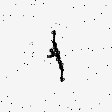 C=CC(=O)OCCCCCCOc1ccc(OC(=O)C2CCC(C(=O)Oc3ccc(OC(=O)C4CCC(C(=O)Oc5ccc(OCCCCCCOC(=O)C=C)cc5)CC4)c(/C=N/N(c4nc5ccccc5s4)C(C)CC#N)c3)CC2)cc1